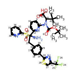 CC(C)(C)OC(=O)N(c1cccc(C(N)(Cc2ccc(-c3nc(C(F)(F)F)cs3)cc2)S(=O)(=O)c2ccccn2)n1)C(C(=O)O)C(C)(C)C